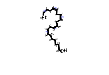 CC/C=C\C/C=C\C/C=C\C/C=C\C/C=C\CCCCCCO